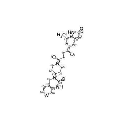 Cc1cc(C(=O)CCC(=O)N2CCC(N3Cc4ccncc4NC3=O)CC2)cc2oc(=O)[nH]c12